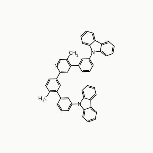 Cc1ccc(-c2cc(-c3cccc(-n4c5ccccc5c5ccccc54)c3)c(C)cn2)cc1-c1cccc(-n2c3ccccc3c3ccccc32)c1